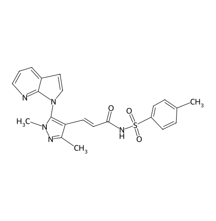 Cc1ccc(S(=O)(=O)NC(=O)/C=C/c2c(C)nn(C)c2-n2ccc3cccnc32)cc1